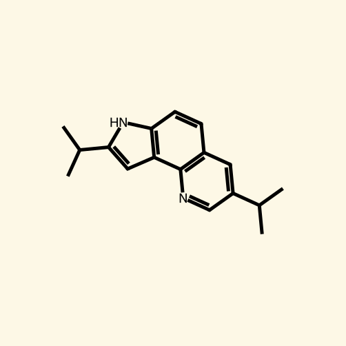 CC(C)c1cnc2c(ccc3[nH]c(C(C)C)cc32)c1